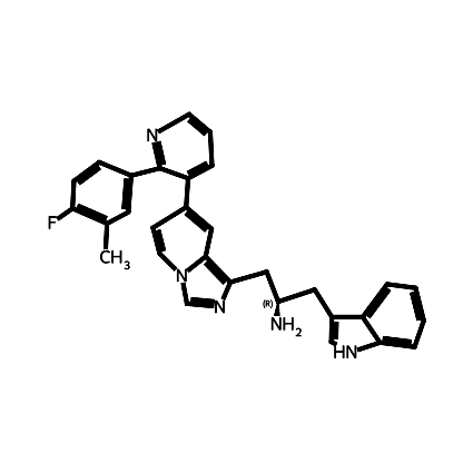 Cc1cc(-c2ncccc2-c2ccn3cnc(C[C@H](N)Cc4c[nH]c5ccccc45)c3c2)ccc1F